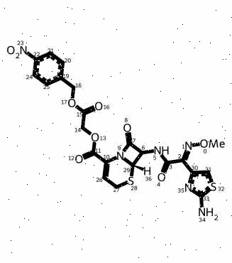 CON=C(C(=O)NC1C(=O)N2C(C(=O)OCC(=O)OCc3ccc([N+](=O)[O-])cc3)=CCS[C@@H]12)c1csc(N)n1